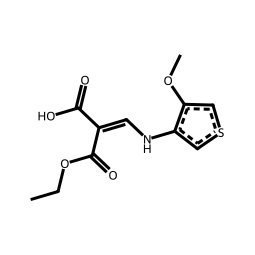 CCOC(=O)C(=CNc1cscc1OC)C(=O)O